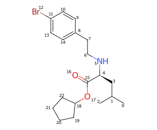 CC(C)C[C@H](NCCc1ccc(Br)cc1)C(=O)OC1CCCC1